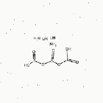 N.N.O=S(O)OS(=O)OS(=O)O.[LiH].[LiH]